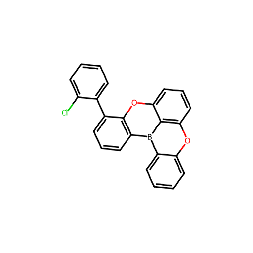 Clc1ccccc1-c1cccc2c1Oc1cccc3c1B2c1ccccc1O3